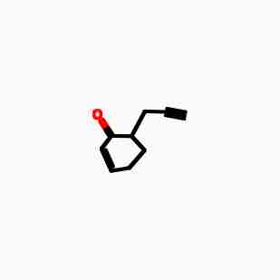 C#CCC1CCC=CC1=O